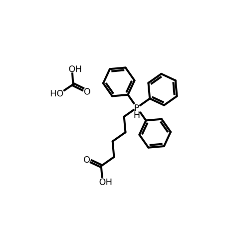 O=C(O)CCCC[PH](c1ccccc1)(c1ccccc1)c1ccccc1.O=C(O)O